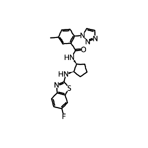 Cc1ccc(-n2ccnn2)c(C(=O)N[C@H]2CCC[C@H]2Nc2nc3ccc(F)cc3s2)c1